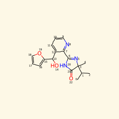 CC(C)C1(C)N=C(c2ncccc2C(O)c2ccco2)NC1=O